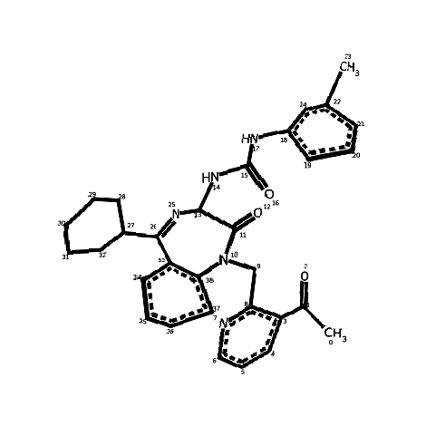 CC(=O)c1cccnc1CN1C(=O)C(NC(=O)Nc2cccc(C)c2)N=C(C2CCCCC2)c2ccccc21